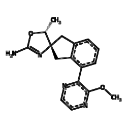 COc1nccnc1-c1cccc2c1C[C@@]1(C2)N=C(N)O[C@@H]1C